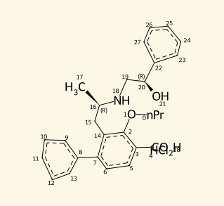 CCCOc1c(C(=O)O)ccc(-c2ccccc2)c1C[C@@H](C)NC[C@H](O)c1ccccc1.Cl